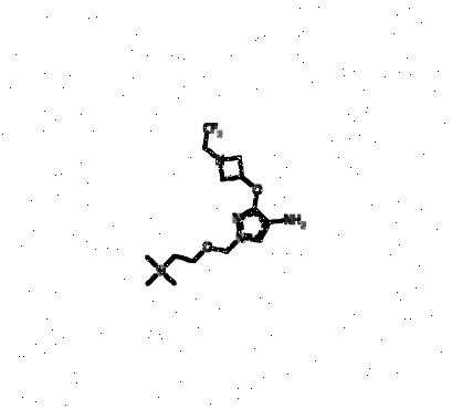 C[Si](C)(C)CCOCn1cc(N)c(OC2CN(CC(F)(F)F)C2)n1